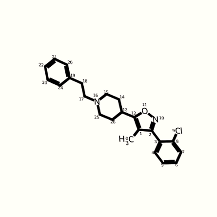 Cc1c(-c2ccccc2Cl)noc1C1CCN(CCc2ccccc2)CC1